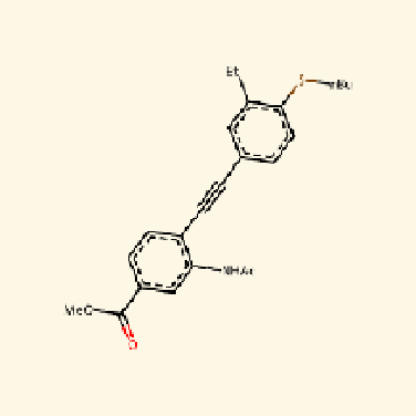 CCCCSc1ccc(C#Cc2ccc(C(=O)OC)cc2NC(C)=O)cc1CC